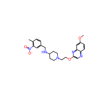 COc1ccc2ncc(OCCN3CCC(NCc4ccc(C)c([N+](=O)[O-])c4)CC3)nc2c1